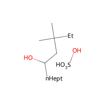 CCCCCCCC(O)CC(C)(C)CC.O=S(=O)(O)O